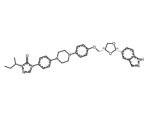 CCC(C)n1ncn(-c2ccc(N3CCN(c4ccc(OC[C@@H]5CO[C@H](c6ccc7[nH]ncc7c6)O5)cc4)CC3)cc2)c1=O